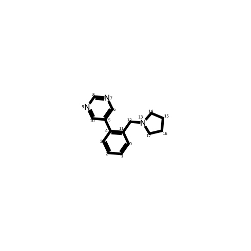 [c]1cccc(-c2cncnc2)c1CN1CCCC1